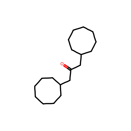 O=C(CC1CCCCCCC1)CC1CCCCCCC1